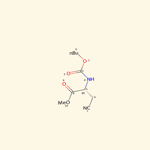 CCCCOC(=O)N[C@H](CC#N)C(=O)OC